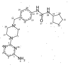 Nc1ccnc(N2CCN(Cc3ccc(NC(=O)NC4CCCC4)cc3)CC2)n1